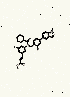 COC(=O)/C=C/c1cc(F)cc(N(Cc2ccc(-c3ccc4c(cnn4C)c3)cc2F)C(=O)C2CCCCC2)c1